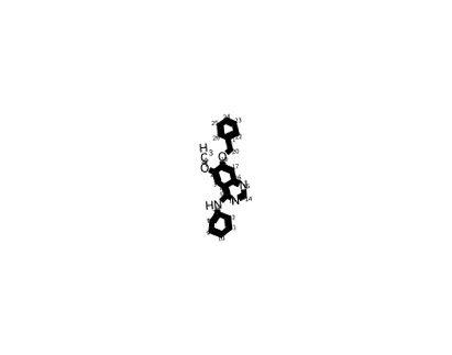 COc1cc2c(Nc3ccccc3)ncnc2cc1OCc1ccccc1